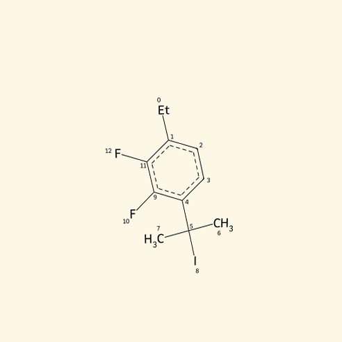 CCc1ccc(C(C)(C)I)c(F)c1F